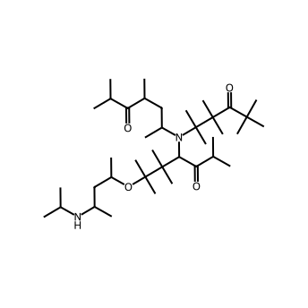 CC(C)NC(C)CC(C)OC(C)(C)C(C)(C)C(C(=O)C(C)C)N(C(C)CC(C)C(=O)C(C)C)C(C)(C)C(C)(C)C(=O)C(C)(C)C